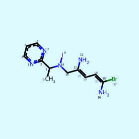 CC(c1ncccn1)N(I)C/C(N)=C/C=C(\N)Br